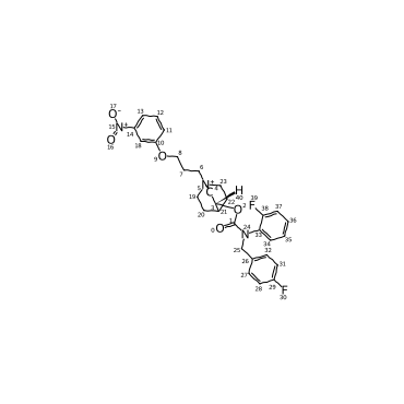 O=C(O[C@H]1C[N+]2(CCCOc3cccc([N+](=O)[O-])c3)CCC1CC2)N(Cc1ccc(F)cc1)c1ccccc1F